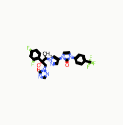 C[C@@H](n1cc(-n2ccn(-c3ccc(C(F)(F)F)cc3)c2=O)cn1)[C@](O)(Cn1cncn1)c1ccc(F)cc1F